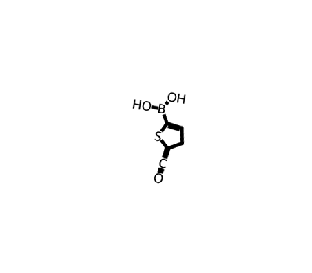 O=C=C1CC=C(B(O)O)S1